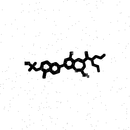 CCCN(CCC)C(=O)C1=Cc2c(Cl)cc(-c3ccc4c(=O)n(CC(C)(C)O)ccc4c3)cc2N=C(N)C1